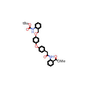 COC(=O)c1ccccc1NC(=O)Cc1ccc(Oc2ccc(OCc3ccccc3NC(=O)OC(C)(C)C)cc2)cc1